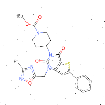 CCc1noc(Cn2c(=O)n(C3CCN(C(=O)OC(C)(C)C)CC3)c(=O)c3sc(-c4ccccc4)cc32)n1